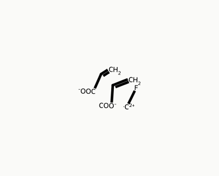 C=CC(=O)[O-].C=CC(=O)[O-].[C+2]F